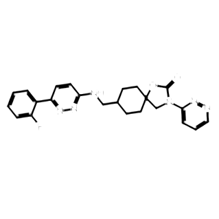 O=C1OC2(CCC(CNc3ccc(-c4ccccc4F)nn3)CC2)CN1c1cccnn1